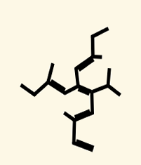 C=CC(C)=CC(=C(C=C(C)CC)C=C(C)CC)C(C)C